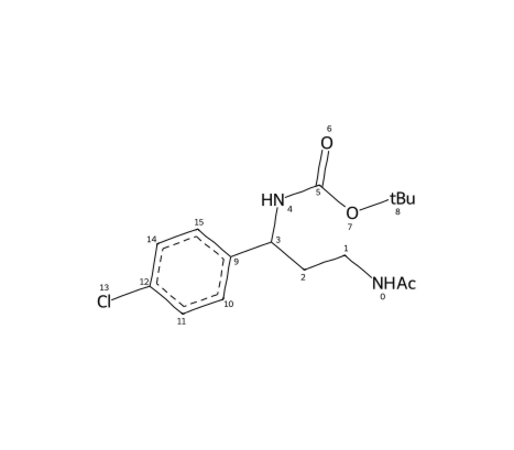 CC(=O)NCCC(NC(=O)OC(C)(C)C)c1ccc(Cl)cc1